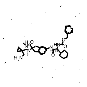 CNC(=O)C1(NCC2(CN)CC2)Cc2ccc(NC(=O)[C@@H](NC(=O)OCc3ccccc3)C3CCCCC3)cc2C1